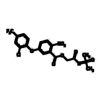 CS(C)(=O)=NC(=O)COC(=O)c1cc(Oc2ccc(C(F)(F)F)cc2Cl)ccc1[N+](=O)[O-]